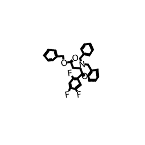 O=C(CC(C(=O)c1cc(F)c(F)cc1F)N(Cc1ccccc1)Cc1ccccc1)OCc1ccccc1